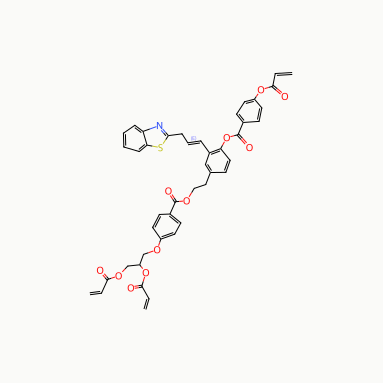 C=CC(=O)OCC(COc1ccc(C(=O)OCCc2ccc(OC(=O)c3ccc(OC(=O)C=C)cc3)c(/C=C/Cc3nc4ccccc4s3)c2)cc1)OC(=O)C=C